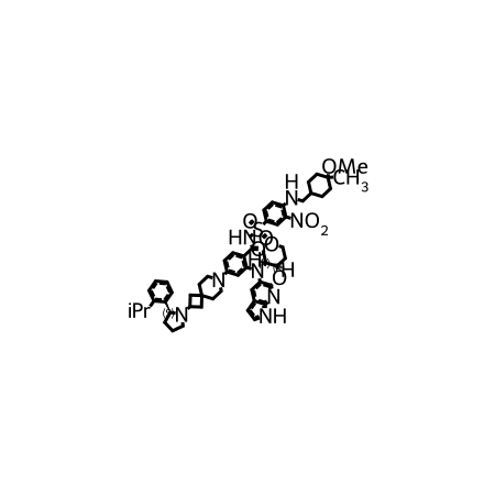 COC1(C)CCC(CNc2ccc(S(=O)(=O)NC(=O)c3ccc(N4CCC5(CC4)CC(N4CCC[C@H]4c4ccccc4C(C)C)C5)cc3N3c4cc5cc[nH]c5nc4O[C@@H]4CCOC[C@H]43)cc2[N+](=O)[O-])CC1